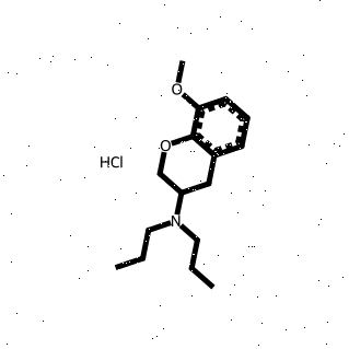 CCCN(CCC)C1COc2c(cccc2OC)C1.Cl